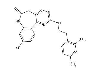 Cc1ccc(CCNc2ncc3c(n2)-c2ccc(Cl)cc2NC(=O)C3)c(C)c1